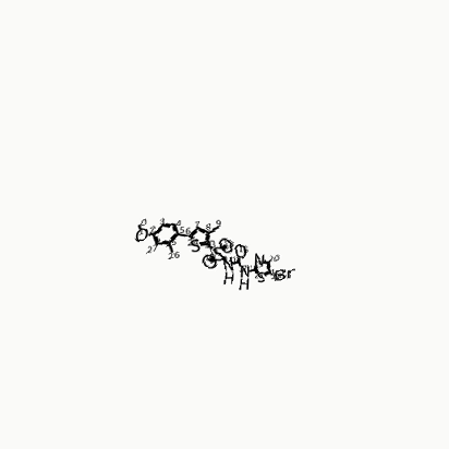 COc1ccc(-c2cc(C)c(S(=O)(=O)NC(=O)Nc3ncc(Br)s3)s2)c(C)c1